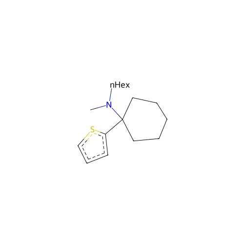 CCCCCCN(C)C1(c2cccs2)CCCCC1